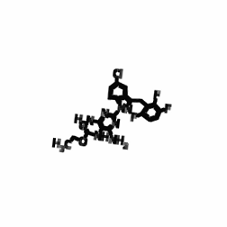 CCOC(=O)Nc1c(N)nc(-n2nc(Cc3c(F)ccc(F)c3F)c3cc(Cl)ccc32)nc1N